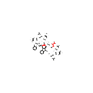 CC(C)C[C@H](NC(=O)OCC1c2ccccc2-c2ccccc21)C(=O)N[C@@H](Cc1c[nH]cn1)C(=O)N[C@@H](CC(C)C)C(=O)N[C@@H](CC(C)C)C(=O)N[C@@H](CC(C)C)C(=O)N[C@@H](Cc1c[nH]cn1)C(=O)N[C@@H](Cc1c[nH]cn1)C(=O)N[C@@H](CC(C)C)C(=O)N[C@@H](Cc1c[nH]cn1)C(=O)N[C@@H](Cc1ccccc1)C(=O)O